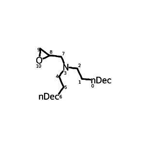 CCCCCCCCCCCCN(CCCCCCCCCCCC)CC1CO1